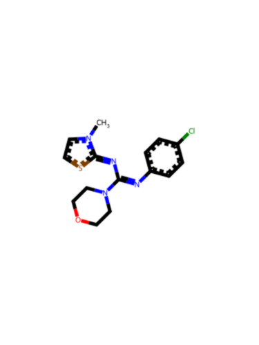 Cn1ccsc1=NC(=Nc1ccc(Cl)cc1)N1CCOCC1